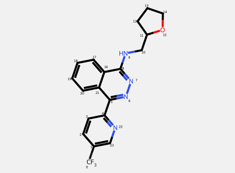 FC(F)(F)c1ccc(-c2nnc(NCC3CCCO3)c3ccccc23)nc1